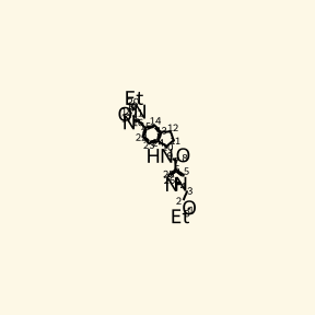 CCOCCn1cc(C(=O)NC2CCc3cc(-c4noc(CC)n4)ccc32)cn1